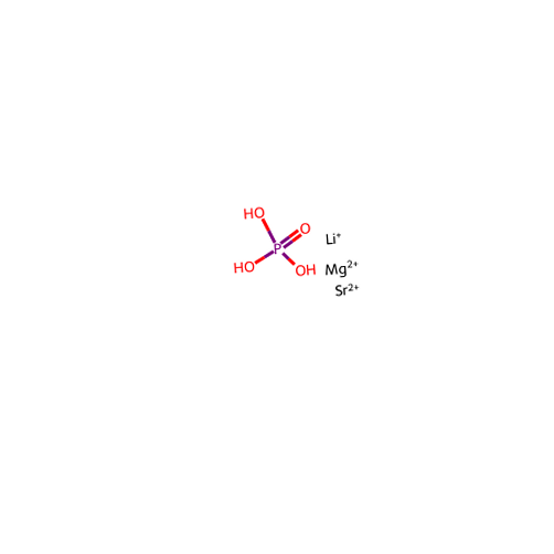 O=P(O)(O)O.[Li+].[Mg+2].[Sr+2]